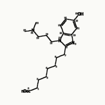 CCCCCCCCCCCCCCCCCc1nc2cc(O)ccc2n1CCCN(C)C